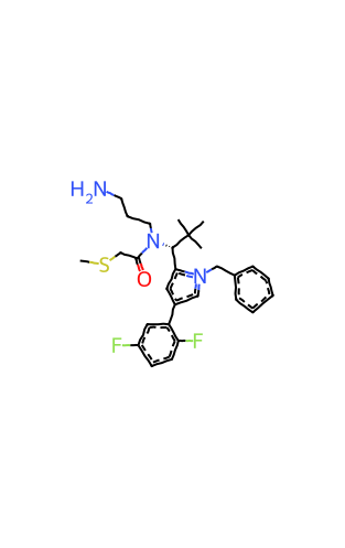 CSCC(=O)N(CCCN)[C@@H](c1cc(-c2cc(F)ccc2F)cn1Cc1ccccc1)C(C)(C)C